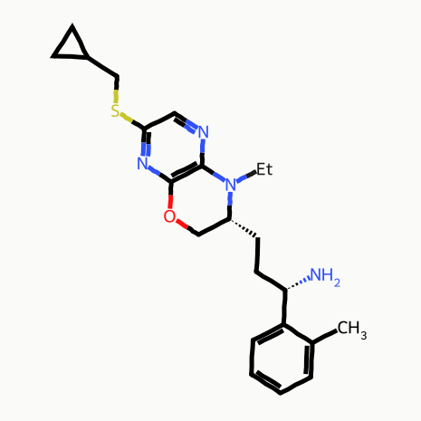 CCN1c2ncc(SCC3CC3)nc2OC[C@H]1CC[C@H](N)c1ccccc1C